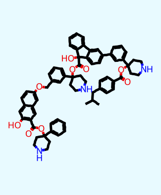 CC(C)Cc1ccc(C(=O)OC2(c3cccc(-c4ccc5c(c4)-c4ccccc4C5(O)C(=O)OC4(c5cccc(COc6ccc7cc(O)c(C(=O)OC8(c9ccccc9)CCNCC8)cc7c6)c5)CCNCC4)c3)CCNCC2)cc1